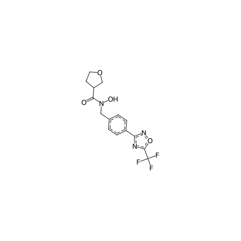 O=C(C1CCOC1)N(O)Cc1ccc(-c2noc(C(F)(F)F)n2)cc1